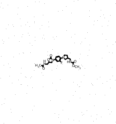 COC(=O)NCC1CCN(c2ccc(N3CC(CNC(C)=O)OC3=O)cc2F)C1